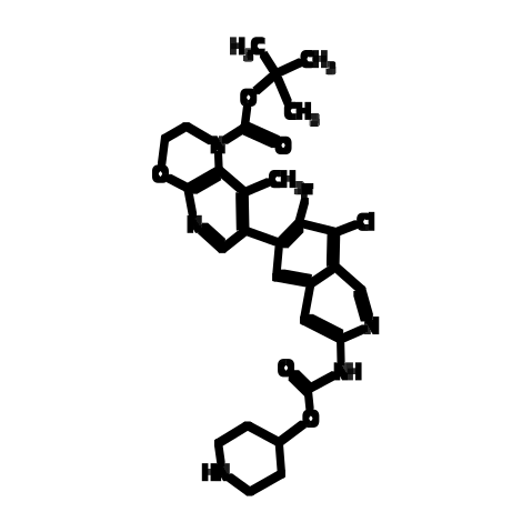 Cc1c(-c2cc3cc(NC(=O)OC4CCNCC4)ncc3c(Cl)c2F)cnc2c1N(C(=O)OC(C)(C)C)CCO2